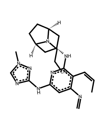 C=Nc1cc(Nc2ncn(C)n2)nc(N[C@@H]2C[C@H]3CC[C@@H](C2)N3CCC#N)c1/C=C\C